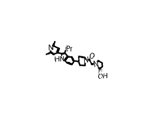 Cc1cc(-c2[nH]c3ccc(C4CCN(C(=O)CN5CCC[C@@H]5CO)CC4)cc3c2C(C)C)cc(C)n1